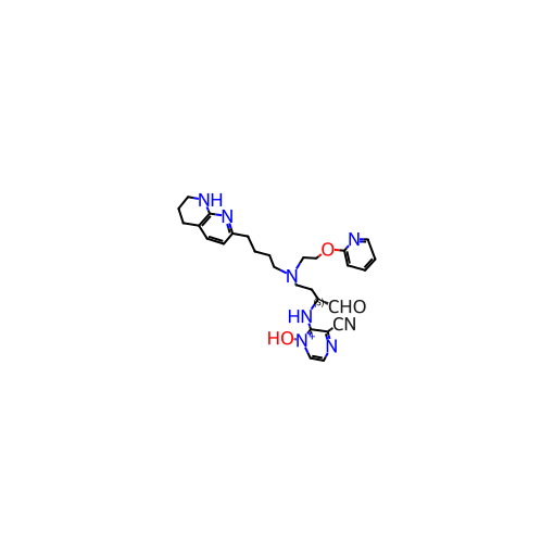 N#Cc1ncc[n+](O)c1N[C@H](C=O)CCN(CCCCc1ccc2c(n1)NCCC2)CCOc1ccccn1